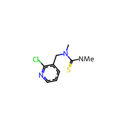 CNC(=S)N(C)Cc1cccnc1Cl